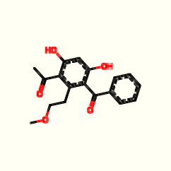 COCCc1c(C(C)=O)c(O)cc(O)c1C(=O)c1ccccc1